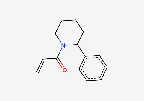 C=CC(=O)N1CCCCC1c1ccccc1